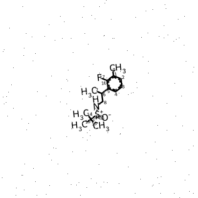 Cc1cccc(C(C)CN[S@@+]([O-])C(C)(C)C)c1F